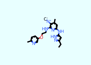 [C-]#[N+]c1c(C)cc(Nc2cc(CC)n[nH]2)nc1NCCOc1ccc(C)nc1